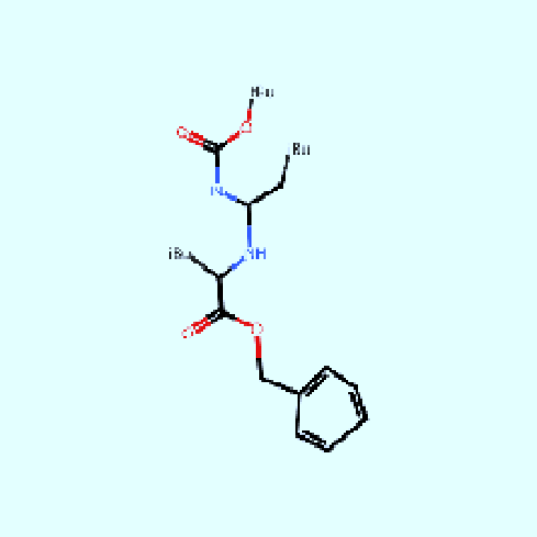 CCC(C)CC(NC(=O)OC(C)(C)C)NC(C(=O)OCc1ccccc1)C(C)CC